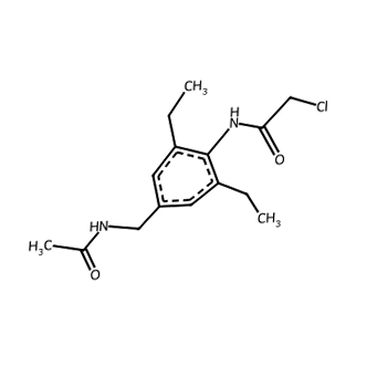 CCc1cc(CNC(C)=O)cc(CC)c1NC(=O)CCl